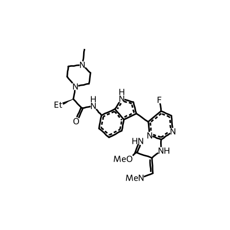 CC[C@H](C(=O)Nc1cccc2c(-c3nc(N/C(=C/NC)C(=N)OC)ncc3F)c[nH]c12)N1CCN(C)CC1